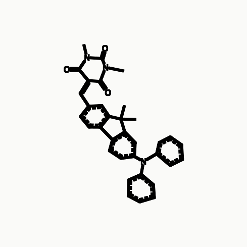 CN1C(=O)C(=Cc2ccc3c(c2)C(C)(C)c2cc(N(c4ccccc4)c4ccccc4)ccc2-3)C(=O)N(C)C1=O